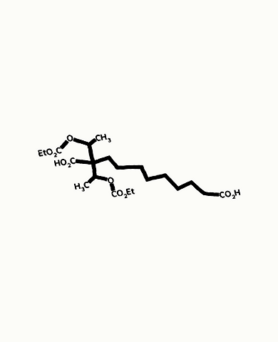 CCOC(=O)OC(C)C(CCCCCCCCC(=O)O)(C(=O)O)C(C)OC(=O)OCC